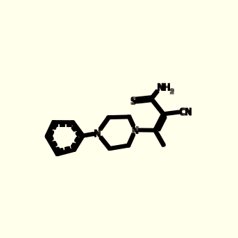 CC(=C(C#N)C(N)=S)N1CCN(c2ccccc2)CC1